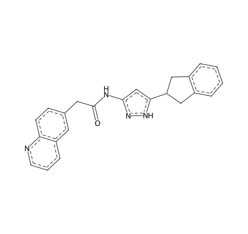 O=C(Cc1ccc2ncccc2c1)Nc1cc(C2Cc3ccccc3C2)[nH]n1